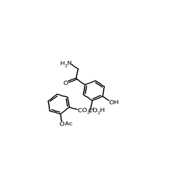 CC(=O)Oc1ccccc1C(=O)O.NCC(=O)c1ccc(O)c(C(=O)O)c1